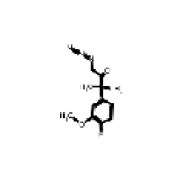 COc1cc(C(C)(C)C(=O)CN=[N+]=[N-])ccc1F